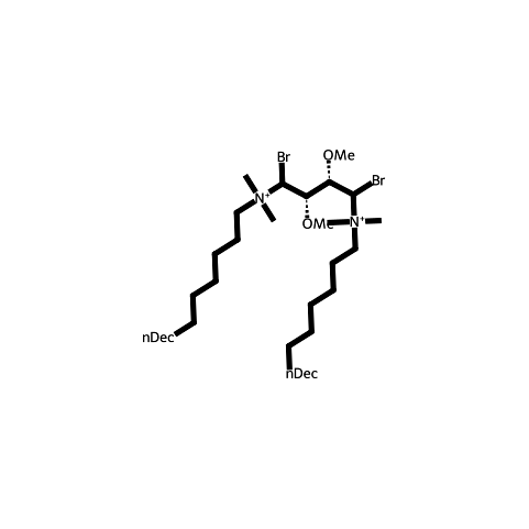 CCCCCCCCCCCCCCCC[N+](C)(C)C(Br)[C@@H](OC)[C@H](OC)C(Br)[N+](C)(C)CCCCCCCCCCCCCCCC